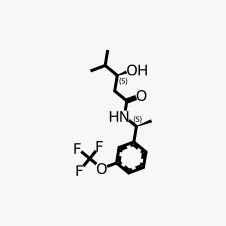 CC(C)[C@@H](O)CC(=O)N[C@@H](C)c1cccc(OC(F)(F)F)c1